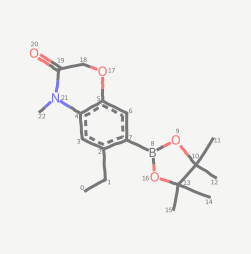 CCc1cc2c(cc1B1OC(C)(C)C(C)(C)O1)OCC(=O)N2C